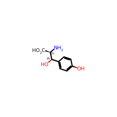 N[C@H](C(=O)O)[C@H](O)c1ccc(O)cc1